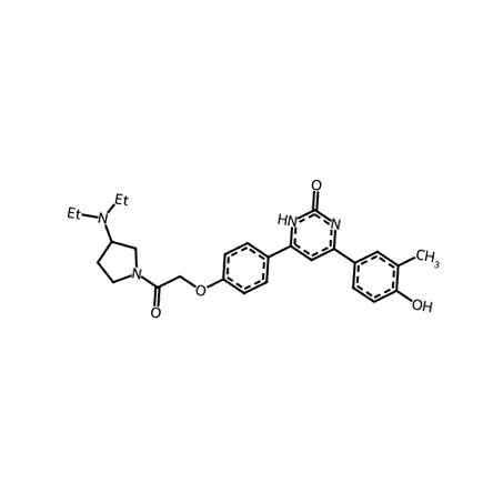 CCN(CC)C1CCN(C(=O)COc2ccc(-c3cc(-c4ccc(O)c(C)c4)nc(=O)[nH]3)cc2)C1